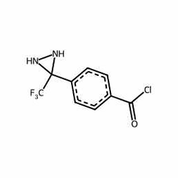 O=C(Cl)c1ccc(C2(C(F)(F)F)NN2)cc1